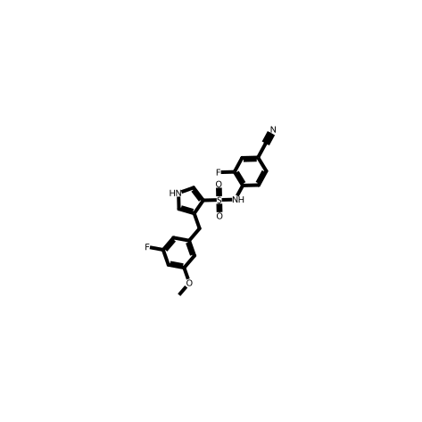 COc1cc(F)cc(Cc2c[nH]cc2S(=O)(=O)Nc2ccc(C#N)cc2F)c1